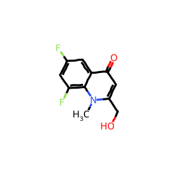 Cn1c(CO)cc(=O)c2cc(F)cc(F)c21